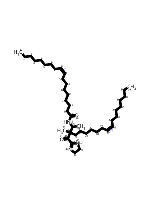 CCCCCCCC/C=C\CCCCCCCC(=O)NC(C)C(C)(CCCCCC/C=C\CCCCCCCC)C(=O)C1=NCCN1